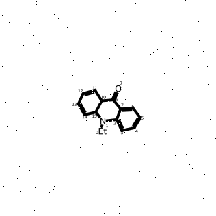 CCN1c2ccccc2C(=O)C2C=CC=CC21